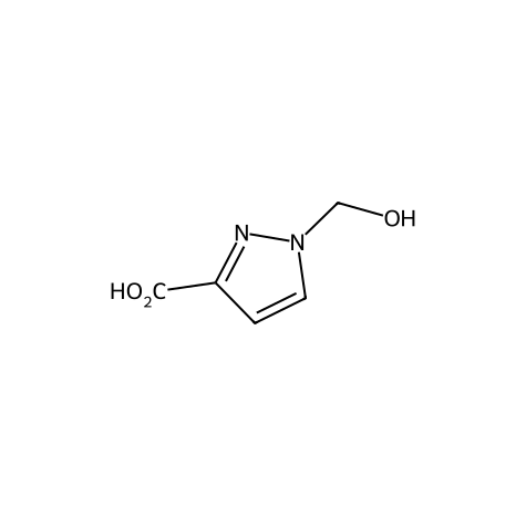 O=C(O)c1ccn(CO)n1